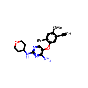 C#Cc1cc(Oc2cnc(NC3CCOCC3)nc2N)c(C(C)C)cc1OC